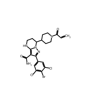 C=CC(=O)N1CCC(C2CCNc3c(C(N)=O)c(-c4cc(Cl)c(Br)c(Cl)c4)nn32)CC1